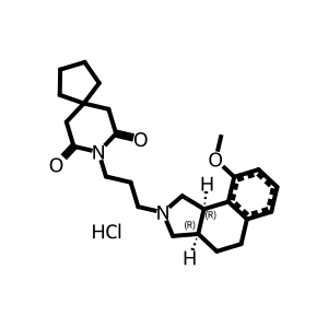 COc1cccc2c1[C@@H]1CN(CCCN3C(=O)CC4(CCCC4)CC3=O)C[C@@H]1CC2.Cl